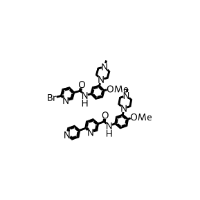 COc1ccc(NC(=O)c2ccc(-c3ccncc3)nc2)cc1N1CCN(C)CC1.COc1ccc(NC(=O)c2ccc(Br)nc2)cc1N1CCN(C)CC1